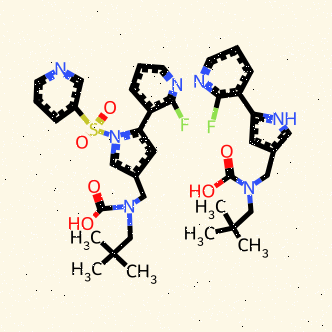 CC(C)(C)CN(Cc1c[nH]c(-c2cccnc2F)c1)C(=O)O.CC(C)(C)CN(Cc1cc(-c2cccnc2F)n(S(=O)(=O)c2cccnc2)c1)C(=O)O